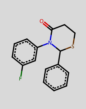 O=C1CCSC(c2ccccc2)N1c1cccc(F)c1